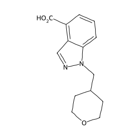 O=C(O)c1cccc2c1cnn2CC1CCOCC1